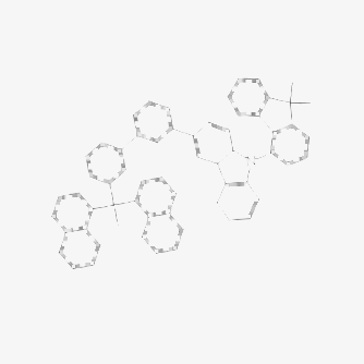 CC1(C)c2ccccc2-c2c(N3C4=C(CCC=C4)C4C=C(c5cccc(-c6cccc(C(C)(c7cccc8ccccc78)c7cccc8ccccc78)c6)c5)C=CC43)cccc21